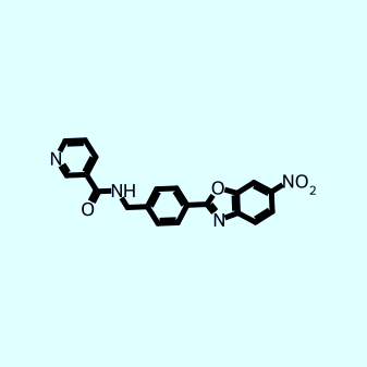 O=C(NCc1ccc(-c2nc3ccc([N+](=O)[O-])cc3o2)cc1)c1cccnc1